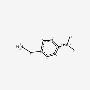 [CH3][SnH]([CH3])[c]1ccc(CN)cn1